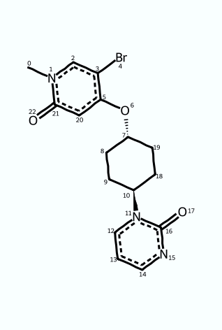 Cn1cc(Br)c(O[C@H]2CC[C@H](n3cccnc3=O)CC2)cc1=O